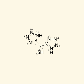 SC(c1nnn[nH]1)c1nnn[nH]1